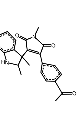 CC(=O)c1ccc(C2=C(C3(C)c4ccccc4NC3C)C(=O)N(C)C2=O)cc1